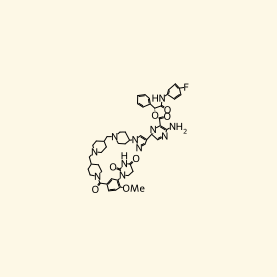 COc1ccc(C(=O)N2CCC(CN3CCC(CN4CCC(n5cc(-c6cnc(N)c(C(=O)O[C@@H](C(=O)Nc7ccc(F)cc7)c7ccccc7)n6)cn5)CC4)CC3)CC2)cc1N1CCC(=O)NC1=O